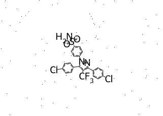 NS(=O)(=O)c1ccc(-n2nc(-c3ccc(Cl)cc3)c(C(F)(F)F)c2-c2ccc(Cl)cc2)cc1